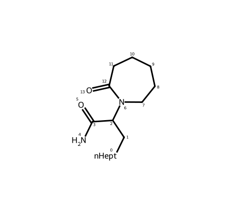 CCCCCCCCC(C(N)=O)N1CCCCCC1=O